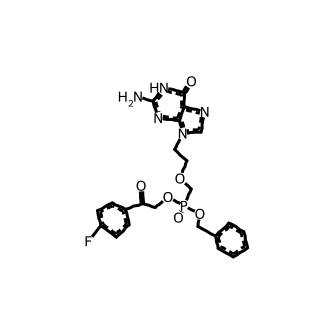 Nc1nc2c(ncn2CCOCP(=O)(OCC(=O)c2ccc(F)cc2)OCc2ccccc2)c(=O)[nH]1